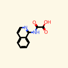 O=C(O)C(=O)Nc1nccc2ccccc12